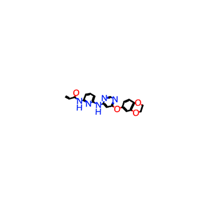 C=CC(=O)Nc1cccc(Nc2cc(Oc3ccc4c(c3)OCCO4)ncn2)n1